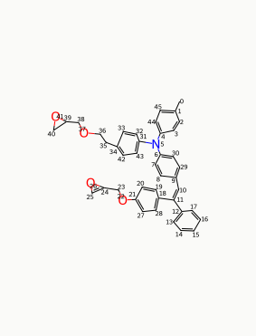 Cc1ccc(N(c2ccc(C=C(c3ccccc3)c3ccc(OCC4=CO4)cc3)cc2)c2ccc(CCOCC3CO3)cc2)cc1